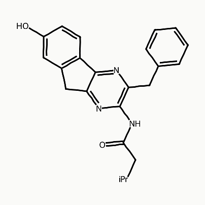 CC(C)CC(=O)Nc1nc2c(nc1Cc1ccccc1)-c1ccc(O)cc1C2